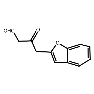 O=CCC(=O)Cc1cc2ccccc2o1